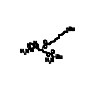 CCCC/C=C/CCCCCCCC(=O)OC[C@H](CCOC(=O)[C@@H](N)C(C)CC)Cn1cnc2cnc(N)nc21